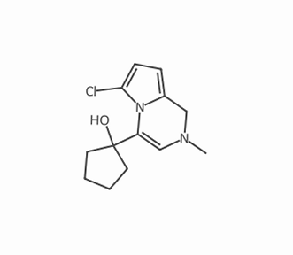 CN1C=C(C2(O)CCCC2)n2c(Cl)ccc2C1